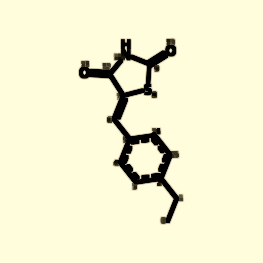 CCc1ccc(/C=C2\SC(=O)NC2=O)cc1